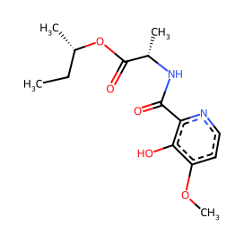 CC[C@H](C)OC(=O)[C@H](C)NC(=O)c1nccc(OC)c1O